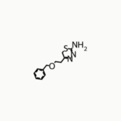 NC1=NN=C(CCOCc2ccccc2)CS1